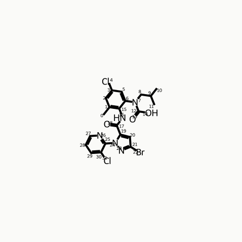 Cc1cc(Cl)cc(N(CC(C)C)C(=O)O)c1NC(=O)c1cc(Br)nn1-c1ncccc1Cl